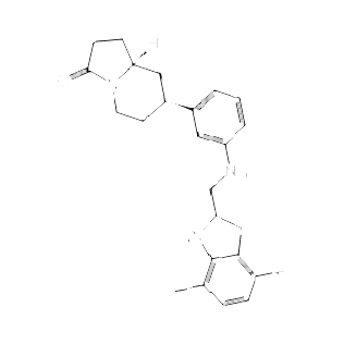 Cc1ccc(F)c2c1NC(CNc1cccc([C@H]3CCN4C(=O)CC[C@@H]4C3)c1)C2